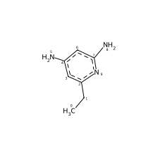 CCc1cc(N)cc(N)n1